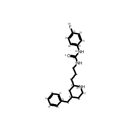 O=C(NCCCC1CC(Cc2ccccc2)CCN1)Nc1ccc(F)cc1